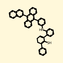 SC1=C(c2ccccc2)CCC=C1c1ccccc1Nc1cccc(-c2c3ccccc3c(-c3ccc4ccccc4c3)c3ccccc23)c1